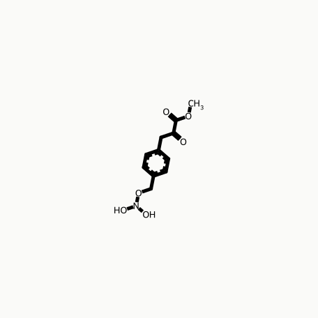 COC(=O)C(=O)Cc1ccc(CON(O)O)cc1